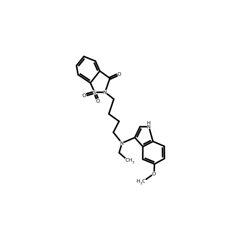 CCN(CCCCN1C(=O)c2ccccc2S1(=O)=O)c1c[nH]c2ccc(OC)cc12